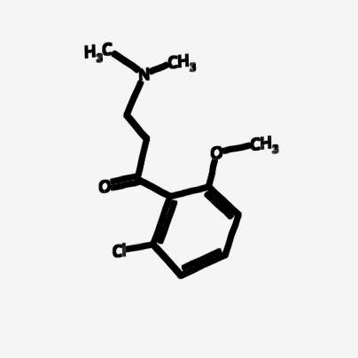 COc1cccc(Cl)c1C(=O)CCN(C)C